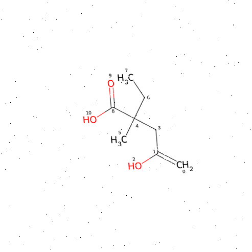 C=C(O)CC(C)(CC)C(=O)O